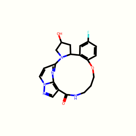 O=C1NCCCOc2ccc(F)cc2C2CC(O)CN2c2ccn3ncc1c3n2